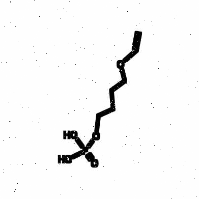 C=COCCCCOP(=O)(O)O